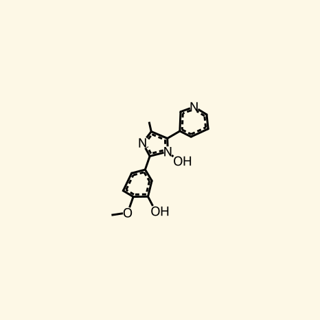 COc1ccc(-c2nc(C)c(-c3cccnc3)n2O)cc1O